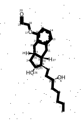 CCCCC[C@@H](O)CC[C@@H]1[C@H]2Cc3cccc(OCC=O)c3C[C@H]2C[C@H]1O